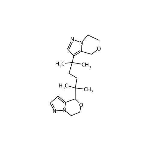 CC(C)(CCC(C)(C)C1OCCn2nccc21)c1cnn2c1COCC2